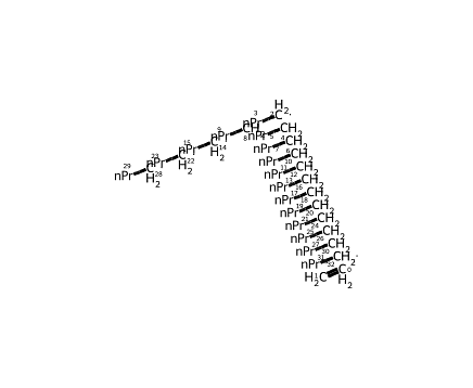 C=C.[CH2]CC[CH2].[CH2]CC[CH2].[CH2]CC[CH2].[CH2]CC[CH2].[CH2]CC[CH2].[CH2]CC[CH2].[CH2]CC[CH2].[CH2]CC[CH2].[CH2]CC[CH2].[CH2]CC[CH2].[CH2]CC[CH2].[CH2]CC[CH2].[CH2]CC[CH2].[CH2]CC[CH2].[CH2]CC[CH2].[CH2]CC[CH2]